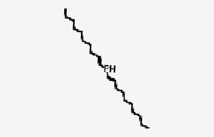 CCCCCCCCC=CPC=CCCCCCCCC